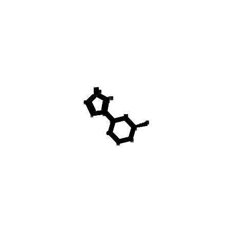 C[C@@H]1CCCC(c2c[c][nH]n2)C1